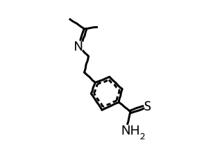 CC(C)=NCCc1ccc(C(N)=S)cc1